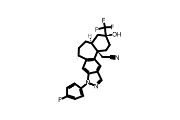 N#CC[C@]12CC[C@@](O)(C(F)(F)F)C[C@@H]1CCCc1cc3c(cnn3-c3ccc(F)cc3)cc12